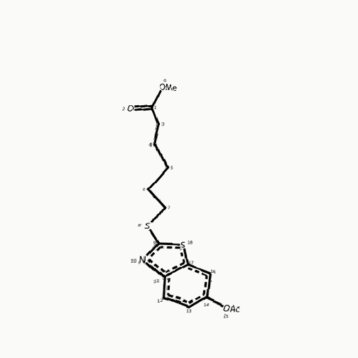 COC(=O)CCCCCSc1nc2ccc(OC(C)=O)cc2s1